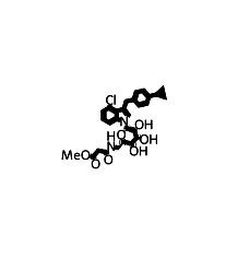 COC(=O)CC(=O)NC[C@H]1O[C@@H](n2cc(Cc3ccc(C4CC4)cc3)c3c(Cl)cccc32)[C@H](O)[C@@H](O)[C@@H]1O